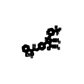 Cc1ccccc1C(=O)NCc1ccc(-c2nn(-c3cc(C(F)(F)F)ccn3)c(N)c2C(N)=O)cc1